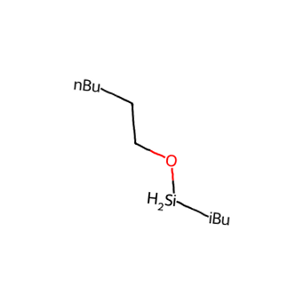 CCCCCCO[SiH2]C(C)CC